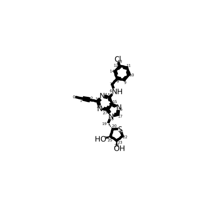 CC#Cc1nc(NCc2cccc(Cl)c2)c2ncn(C[C@@H]3SC[C@@H](O)[C@H]3O)c2n1